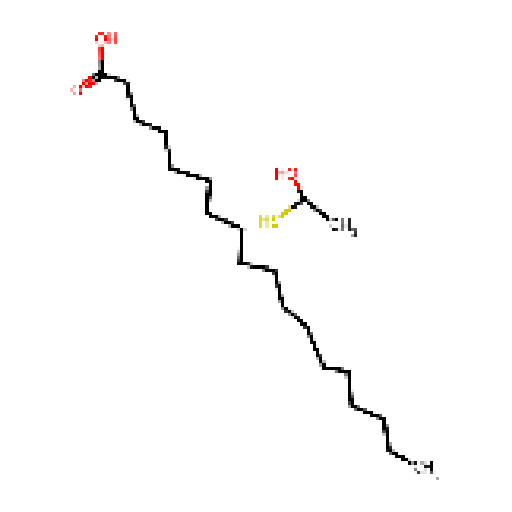 CC(O)S.CCCCCCCCCCCCCCCCCC(=O)O